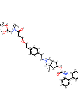 COC(CN(C)C(=O)CCOCCc1ccc(CCN2CC3CC(OC(=O)Nc4ccccc4-c4ccccc4)C[C@@H]3C2)cc1)OC